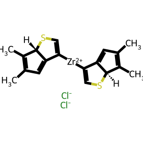 CC1=C(C)[C@@H]2SC=[C]([Zr+2][C]3=CS[C@H]4C3=CC(C)=C4C)C2=C1.[Cl-].[Cl-]